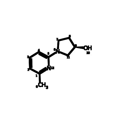 Cc1cccc(N2CC[C@@H](O)C2)n1